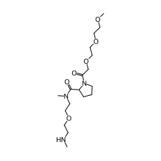 CNCCOCCN(C)C(=O)C1CCCN1C(=O)COCCOCCOC